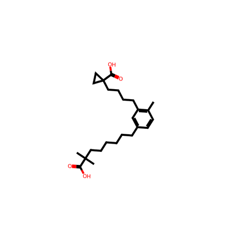 Cc1ccc(CCCCCCC(C)(C)C(=O)O)cc1CCCCC1(C(=O)O)CC1